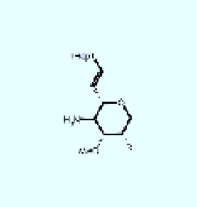 CCCCCCC/C=C/[C@@H]1OC[C@H](C)[C@H](OC)[C@H]1N